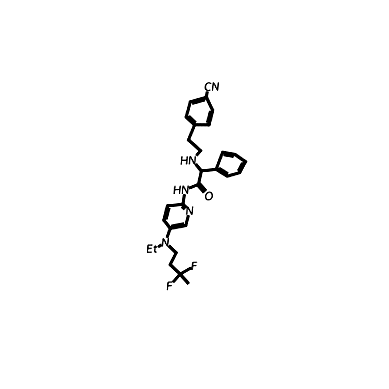 CCN(CCC(C)(F)F)c1ccc(NC(=O)C(NCCc2ccc(C#N)cc2)c2ccccc2)nc1